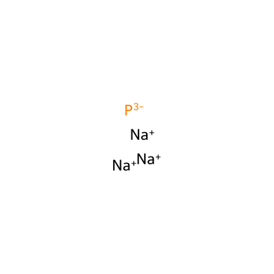 [Na+].[Na+].[Na+].[P-3]